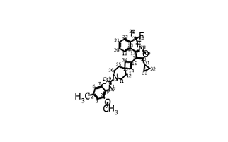 COc1cc(C)cc2sc(N3CCC4(C=C(c5c(-c6ccccc6C(F)(F)F)noc5C5CC5)C4)CC3)nc12